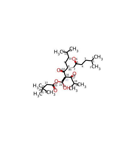 CC(C)CCC(=O)C[C@@H](CCC(C)C)C(=O)/C(C(=O)C(C)C)=C(/O)OC(=O)CC(C)(C)C